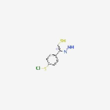 N=N/C(=C\S)c1ccc(SCl)cc1